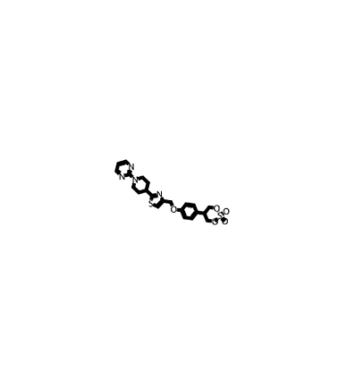 O=S1(=O)OCC(c2ccc(OCc3csc(C4CCN(c5ncccn5)CC4)n3)cc2)CO1